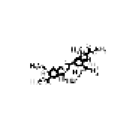 Br.CCOc1cc2c(cc1C(=O)NC)C(=N)N(CC(=O)c1cc(C(C)(C)C)c3nc(C(=O)OC)n(C)c3c1)C2